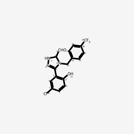 O=CC1NN=C(c2cc(Cl)ccc2O)N1Cc1ccc(C(F)(F)F)cc1